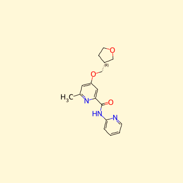 Cc1cc(OC[C@@H]2CCOC2)cc(C(=O)Nc2ccccn2)n1